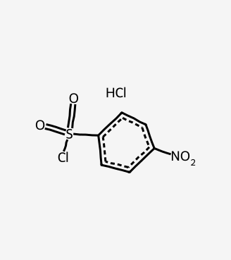 Cl.O=[N+]([O-])c1ccc(S(=O)(=O)Cl)cc1